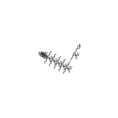 CCCCN(CCCC)C(=S)[S-].CCCCN(CCCC)C(=S)[S-].CCCCN(CCCC)C(=S)[S-].CCCCN(CCCC)C(=S)[S-].CCCCN(CCCC)C(=S)[S-].CCCCN(CCCC)C(=S)[S-].O=S.O=S.O=S.O=S.O=S.O=S.[Mo+6]